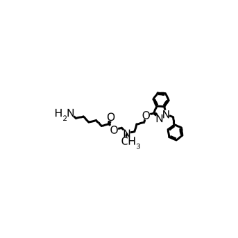 CN(CCCOc1nn(Cc2ccccc2)c2ccccc12)COC(=O)CCCCCN